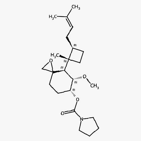 CO[C@@H]1[C@H](OC(=O)N2CCCC2)CCC2(CO2)[C@H]1[C@@]1(C)CC[C@@H]1CC=C(C)C